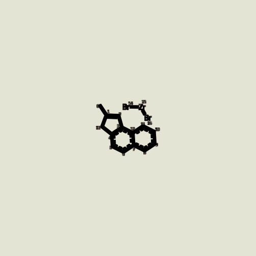 CC1=[C]c2c(ccc3ccccc23)C1.[Br][Zr][Br]